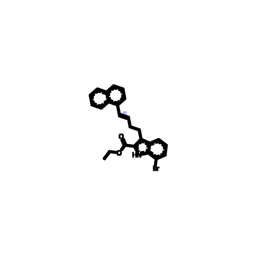 CCOC(=O)c1[nH]c2c(Br)cccc2c1CC/C=C/c1cccc2ccccc12